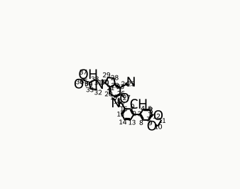 Cc1c(-c2ccc3c(c2)OCCO3)cccc1-c1nc2cc3c(c(C#N)c2o1)CC[C@H]3N1CC[C@@H](C(=O)O)C1